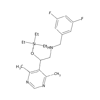 CC[Si](CC)(CC)OC(CNCc1cc(F)cc(F)c1)c1c(C)ncnc1C